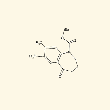 Cc1cc2c(cc1C(F)(F)F)N(C(=O)OC(C)(C)C)CCCC2=O